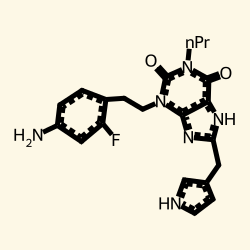 CCCn1c(=O)c2[nH]c(Cc3cc[nH]c3)nc2n(CCc2ccc(N)cc2F)c1=O